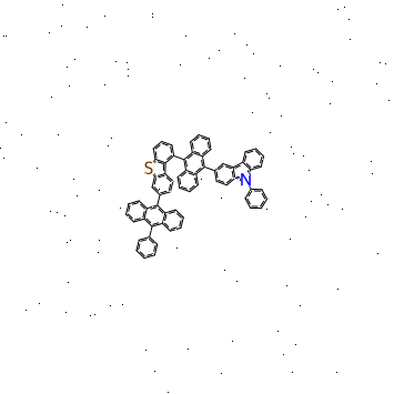 c1ccc(-c2c3ccccc3c(-c3ccc4c(c3)sc3cccc(-c5c6ccccc6c(-c6ccc7c(c6)c6ccccc6n7-c6ccccc6)c6ccccc56)c34)c3ccccc23)cc1